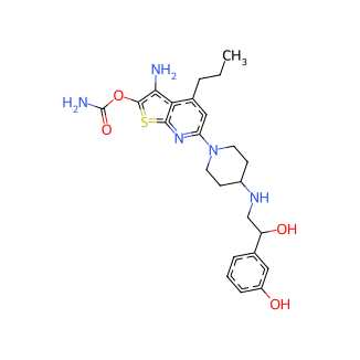 CCCc1cc(N2CCC(NCC(O)c3cccc(O)c3)CC2)nc2sc(OC(N)=O)c(N)c12